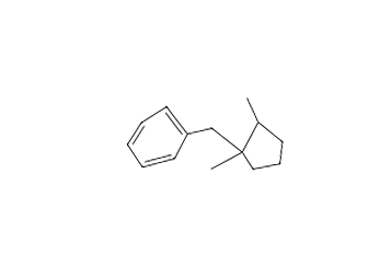 CC1CCCC1(C)Cc1ccccc1